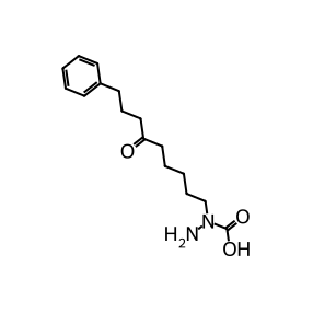 NN(CCCCCC(=O)CCCc1ccccc1)C(=O)O